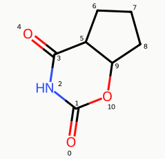 O=C1NC(=O)C2CCCC2O1